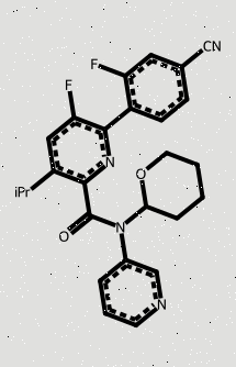 CC(C)c1cc(F)c(-c2ccc(C#N)cc2F)nc1C(=O)N(c1cccnc1)C1CCCCO1